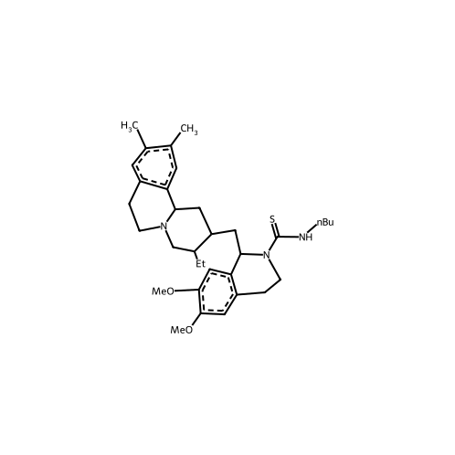 CCCCNC(=S)N1CCc2cc(OC)c(OC)cc2C1CC1CC2c3cc(C)c(C)cc3CCN2CC1CC